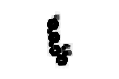 CC(C)OC(=O)c1cccnc1N1CCN(Cc2cccc(Oc3ccc(Cl)cc3)c2)CC1